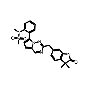 CN(c1ccccc1-c1ccc2cnc(Cc3ccc4c(c3)NC(=O)C4(C)C)nn12)S(C)(=O)=O